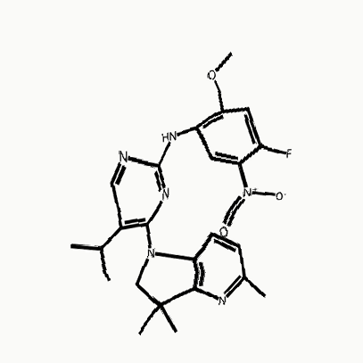 COc1cc(F)c([N+](=O)[O-])cc1Nc1ncc(C(C)C)c(N2CC(C)(C)c3nc(C)ccc32)n1